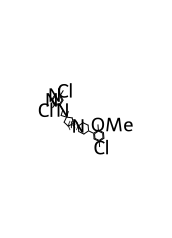 COc1ccc(Cl)cc1C1CCN([C@@H]2CCC3(C2)CN(c2cc(Cl)nnc2Cl)C3)CC1